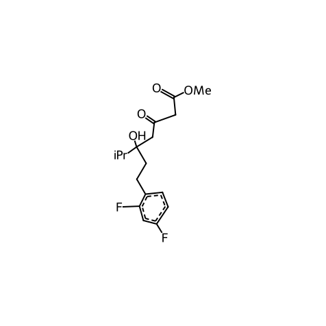 COC(=O)CC(=O)CC(O)(CCc1ccc(F)cc1F)C(C)C